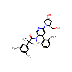 COc1ccccc1-c1cc(N2C[C@@H](O)C[C@H]2CO)ncc1N(C)C(=O)C(C)(C)c1cc(C(F)(F)F)cc(C(F)(F)F)c1